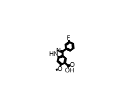 COc1cc2[nH]nc(-c3cccc(F)c3)c2cc1C(=O)O